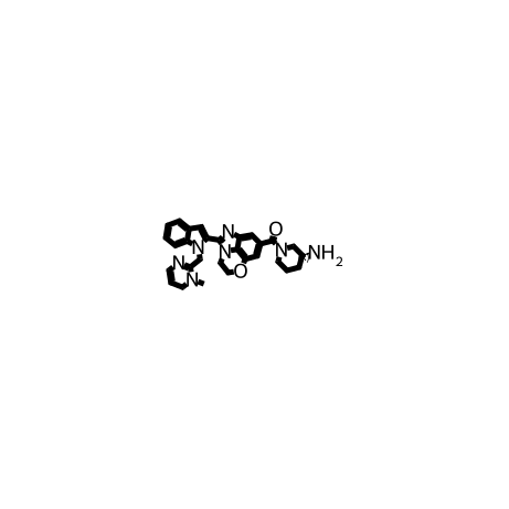 CN1CC=CN=C1Cn1c(-c2nc3cc(C(=O)N4CCC[C@@H](N)C4)cc4c3n2CCO4)cc2ccccc21